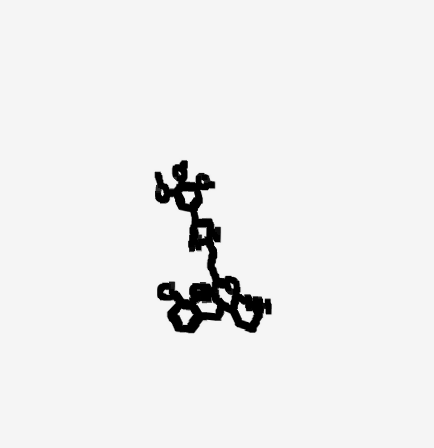 COc1cc(-c2cnc(CCC(=O)NC(Cc3cccc(Cl)c3Cl)C3CCCNC3)nc2)cc(OC)c1OC